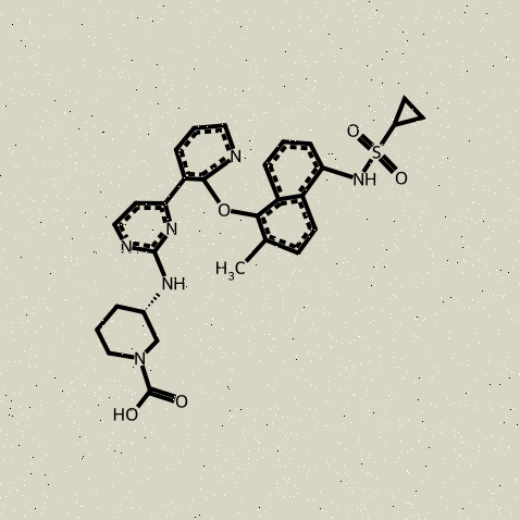 Cc1ccc2c(NS(=O)(=O)C3CC3)cccc2c1Oc1ncccc1-c1ccnc(N[C@H]2CCCN(C(=O)O)C2)n1